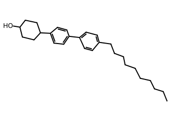 CCCCCCCCCCc1ccc(-c2ccc(C3CCC(O)CC3)cc2)cc1